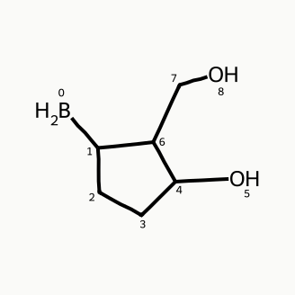 BC1CCC(O)C1CO